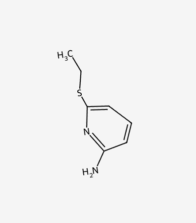 CCSc1cccc(N)n1